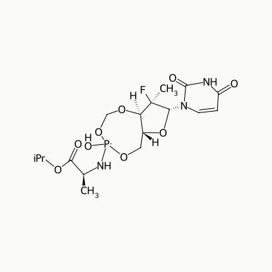 CC(C)OC(=O)[C@H](C)N[P]1(O)OCO[C@@H]2[C@@H](CO1)O[C@@H](n1ccc(=O)[nH]c1=O)[C@]2(C)F